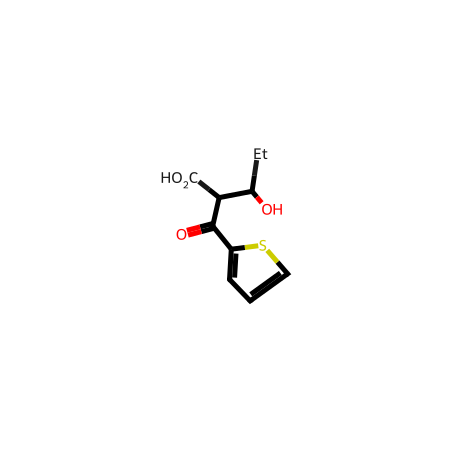 CCC(O)C(C(=O)O)C(=O)c1cccs1